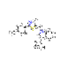 Cc1nc(-c2ccc(C(F)(F)F)cc2)sc1CN1CC(CCC(=O)O)c2ccccc21